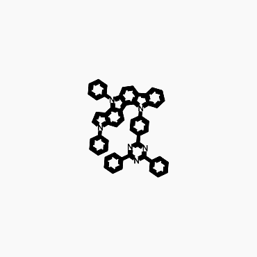 c1ccc(-c2nc(-c3ccccc3)nc(-c3ccc(-n4c5ccccc5c5ccc6c(c7ccc8c(ccn8-c8ccccc8)c7n6-c6ccccc6)c54)cc3)n2)cc1